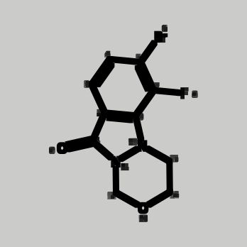 O=c1c2ccc(Br)c(F)c2n2n1COCC2